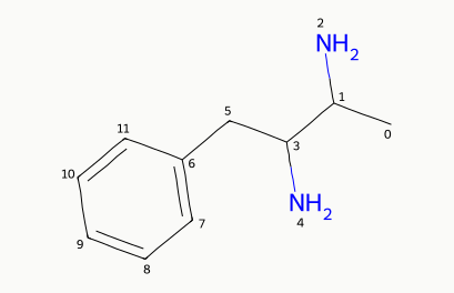 CC(N)C(N)Cc1ccccc1